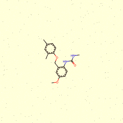 CNC(=O)Nc1ccc(OC)cc1COc1ccc(C)cc1C